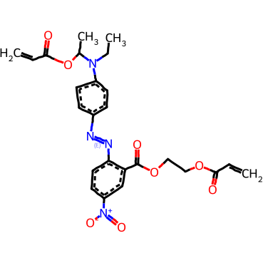 C=CC(=O)OCCOC(=O)c1cc([N+](=O)[O-])ccc1/N=N/c1ccc(N(CC)C(C)OC(=O)C=C)cc1